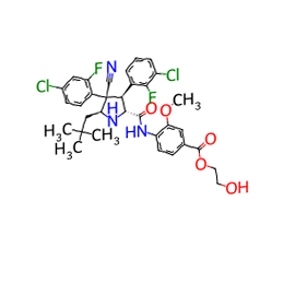 COc1cc(C(=O)OCCO)ccc1NC(=O)[C@@H]1N[C@@H](CC(C)(C)C)[C@](C#N)(c2ccc(Cl)cc2F)[C@H]1c1cccc(Cl)c1F